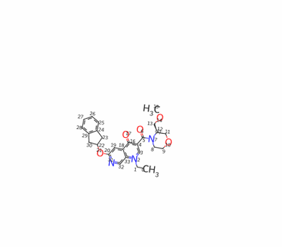 CCn1cc(C(=O)N2CCOC[C@@H]2COC)c(=O)c2cc(OC3Cc4ccccc4C3)ncc21